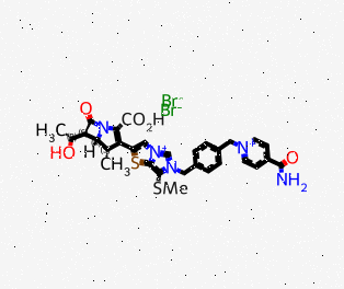 CSc1c2sc(C3=C(C(=O)O)N4C(=O)[C@H]([C@@H](C)O)[C@H]4[C@H]3C)c[n+]2cn1Cc1ccc(C[n+]2ccc(C(N)=O)cc2)cc1.[Br-].[Br-]